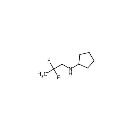 CC(F)(F)CNC1CCCC1